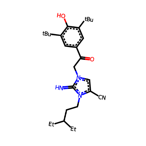 CCC(CC)CCn1c(C#N)cn(CC(=O)c2cc(C(C)(C)C)c(O)c(C(C)(C)C)c2)c1=N